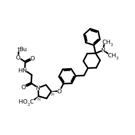 CN(C)C1(c2ccccc2)CCC(Cc2cccc(O[C@H]3C[C@@H](C(=O)O)N(C(=O)CNC(=O)OC(C)(C)C)C3)c2)CC1